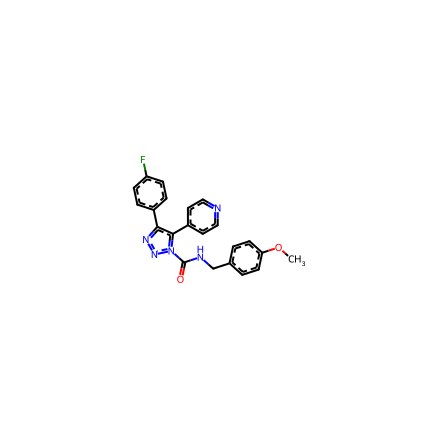 COc1ccc(CNC(=O)n2nnc(-c3ccc(F)cc3)c2-c2ccncc2)cc1